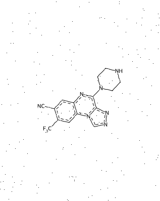 N#Cc1cc2nc(N3CCNCC3)c3nncn3c2cc1C(F)(F)F